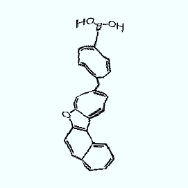 OB(O)c1ccc(-c2ccc3c(c2)oc2ccc4ccccc4c23)cc1